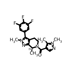 Cc1c(C(=O)N2CCc3c(nn(C)c3-c3cc(F)c(F)c(F)c3)[C@@H]2C)cnn1C